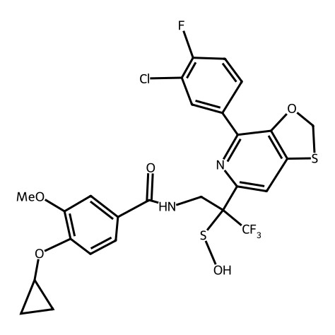 COc1cc(C(=O)NCC(SO)(c2cc3c(c(-c4ccc(F)c(Cl)c4)n2)OCS3)C(F)(F)F)ccc1OC1CC1